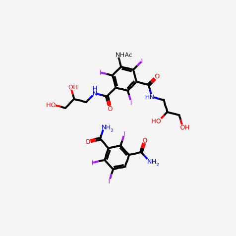 CC(=O)Nc1c(I)c(C(=O)NCC(O)CO)c(I)c(C(=O)NCC(O)CO)c1I.NC(=O)c1cc(I)c(I)c(C(N)=O)c1I